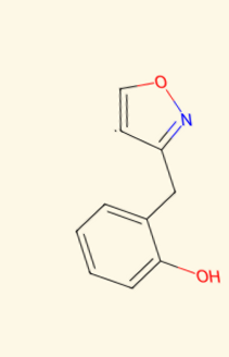 Oc1ccccc1Cc1[c]con1